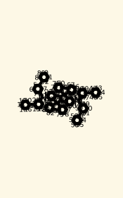 c1ccc(-c2cccc(N(c3cccc(-c4ccccc4)c3)c3ccc4c(c3)C3(C5=C4C4(c6cc(N(c7cccc(-c8ccccc8)c7)c7cccc(-c8ccccc8)c7)ccc65)c5ccccc5-c5ccccc54)c4ccccc4-c4ccccc43)c2)cc1